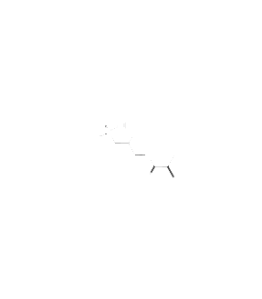 C=C(C)C(=O)OCC(O)CP(=O)(O)O